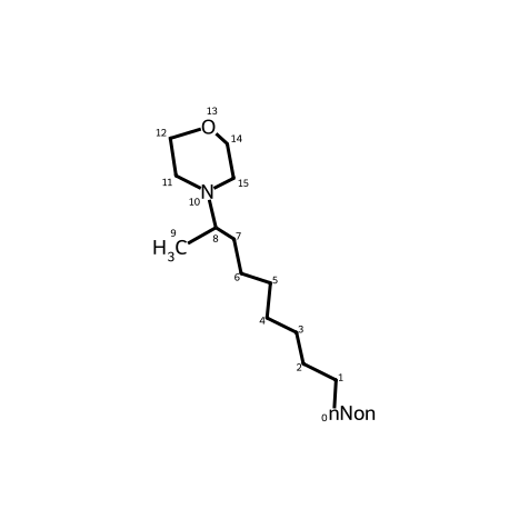 CCCCCCCCCCCCCCCCC(C)N1CCOCC1